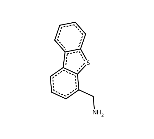 NCc1cccc2c1sc1ccccc12